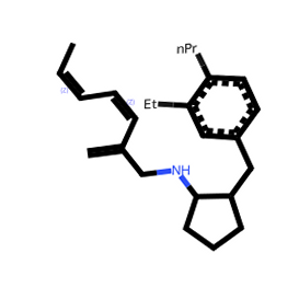 C=C(/C=C\C=C/C)CNC1CCCC1Cc1ccc(CCC)c(CC)c1